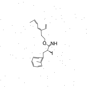 C=C/C(=C\C=C/C)CCOC(=N)[C@@H](I)CC1=C(C)\C=C/C=C\C=C\1